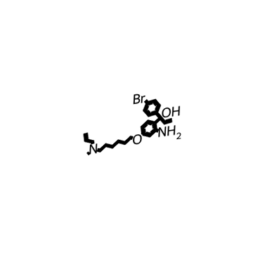 C=CCN(C)CCCCCCOc1ccc(C(O)(C=C)c2ccc(Br)cc2)c(N)c1